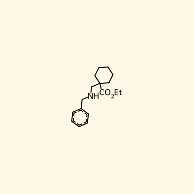 CCOC(=O)C1(CNCc2ccccc2)CCCCC1